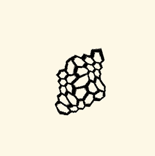 c1cc2cc3cc4cc5ccc6cc7cc8cc9cccc%10cc%11cc%12cc%13ccc%14cc%15cc%16cc(c1)c2c1c3c2c4c3c5c6c4c7c5c8c(c9%10)c%11c6c%12c7c%13c%14c8c%15c(c%161)c2c1c3c4c(c56)c7c81